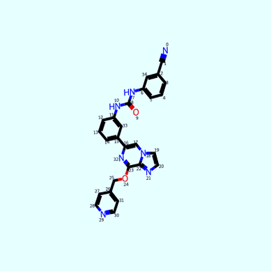 N#Cc1cccc(NC(=O)Nc2cccc(-c3cn4ccnc4c(OCc4ccncc4)n3)c2)c1